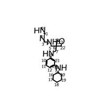 N=C/N=C\NCC1(CNc2cccc(NC3CCCCC3)c2)COC1